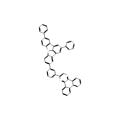 c1ccc(-c2ccc3c(c2)c2cc(-c4ccccc4)cc4c5cc(-c6cccc(-c7cnc8c9ccccc9c9ccccc9c8n7)c6)ccc5n3c24)cc1